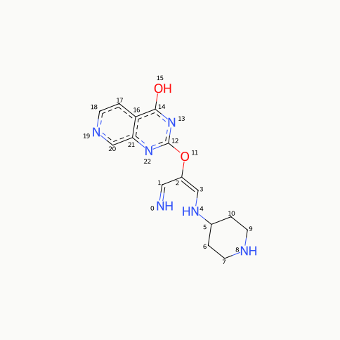 N=C/C(=C\NC1CCNCC1)Oc1nc(O)c2ccncc2n1